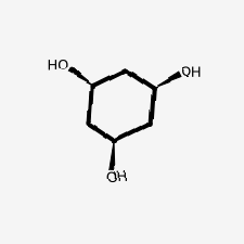 O[C@H]1C[C@@H](O)C[C@@H](O)C1